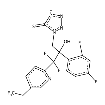 OC(Cn1nn[nH]c1=S)(c1ccc(F)cc1F)C(F)(F)c1ccc(CC(F)(F)F)cn1